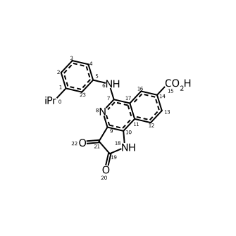 CC(C)c1cccc(Nc2nc3c(c4ccc(C(=O)O)cc24)NC(=O)C3=O)c1